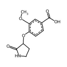 COc1cc(C(=O)O)ccc1OC1CCNC1=O